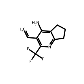 C=Cc1c(C(F)(F)F)nc2c(c1N)CCC2